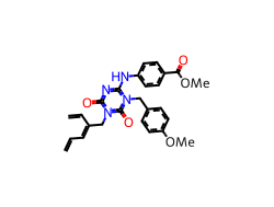 C=C/C=C(\C=C)Cn1c(=O)nc(Nc2ccc(C(=O)OC)cc2)n(Cc2ccc(OC)cc2)c1=O